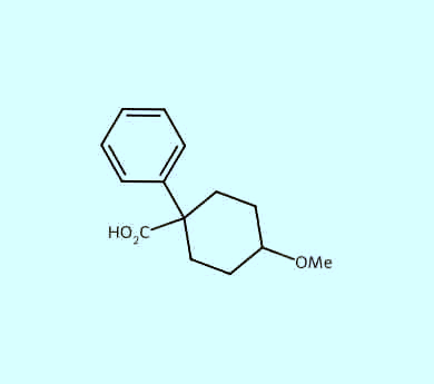 COC1CCC(C(=O)O)(c2ccccc2)CC1